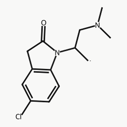 [CH2]C(CN(C)C)N1C(=O)Cc2cc(Cl)ccc21